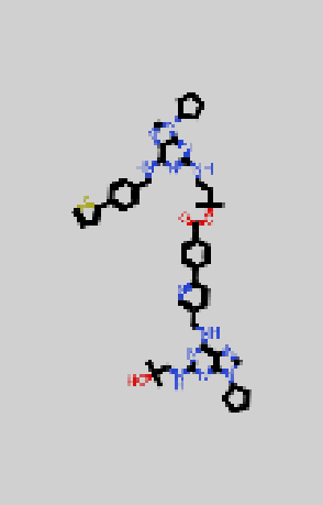 CC(C)(O)CNc1nc(NCc2ccc(-c3ccc(C(=O)OC(C)(C)CCNc4nc(NCc5ccc(-c6cccs6)cc5)c5ncn(C6CCCC6)c5n4)cc3)nc2)c2ncn(C3CCCC3)c2n1